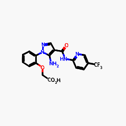 Nc1c(C(=O)Nc2ccc(C(F)(F)F)cn2)cnn1-c1ccccc1OCC(=O)O